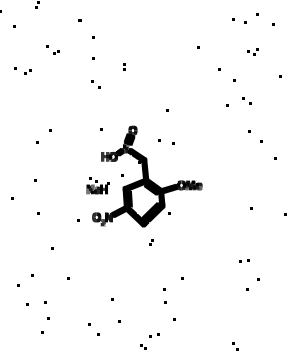 COc1ccc([N+](=O)[O-])cc1CS(=O)O.[NaH]